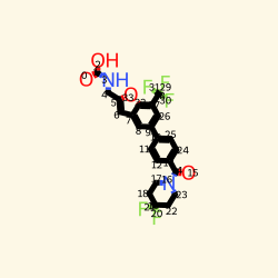 O=C(O)NCc1cc2cc(-c3ccc(C(=O)N4CCC(F)(F)CC4)cc3)cc(C(F)(F)F)c2o1